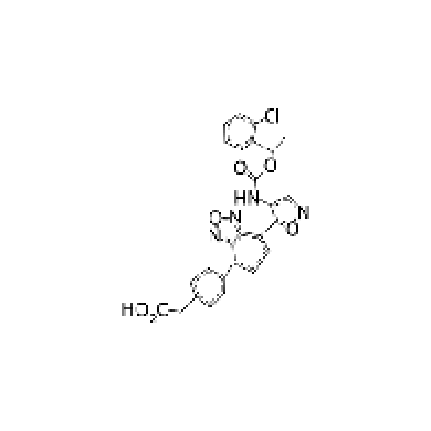 CC(OC(=O)Nc1cnoc1-c1ccc(-c2ccc(CC(=O)O)cc2)c2nonc12)c1ccccc1Cl